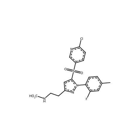 Cc1ccc(-n2nc(CCNC(=O)O)cc2S(=O)(=O)c2ccc(Cl)nc2)c(F)c1